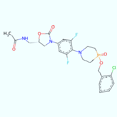 CC(=O)NC[C@H]1CN(c2cc(F)c(N3CCP(=O)(OCc4ccccc4Cl)CC3)c(F)c2)C(=O)O1